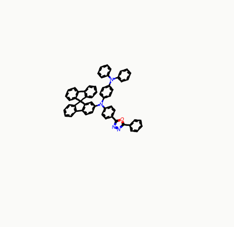 c1ccc(-c2nnc(-c3ccc(N(c4ccc(N(c5ccccc5)c5ccccc5)cc4)c4ccc5c(c4)C4(c6ccccc6-c6ccccc64)c4ccccc4-5)cc3)o2)cc1